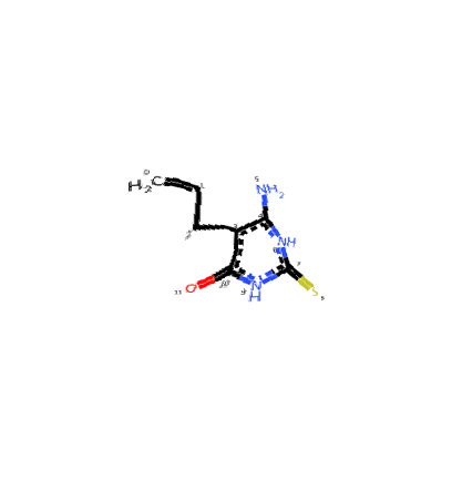 C=CCc1c(N)[nH]c(=S)[nH]c1=O